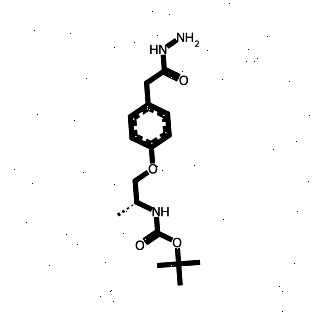 C[C@H](COc1ccc(CC(=O)NN)cc1)NC(=O)OC(C)(C)C